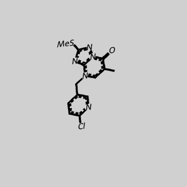 CSc1nc2n(Cc3ccc(Cl)nc3)cc(C)c(=O)n2n1